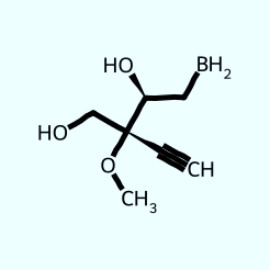 BC[C@H](O)[C@@](C#C)(CO)OC